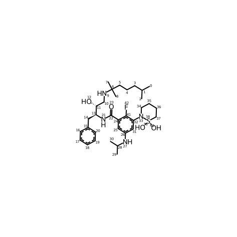 CC(C)CCCC(C)(C)NC[C@@H](O)[C@H](Cc1ccccc1)NC(=O)c1cc(NC(C)C)cc(N2CCCCS2(O)O)c1F